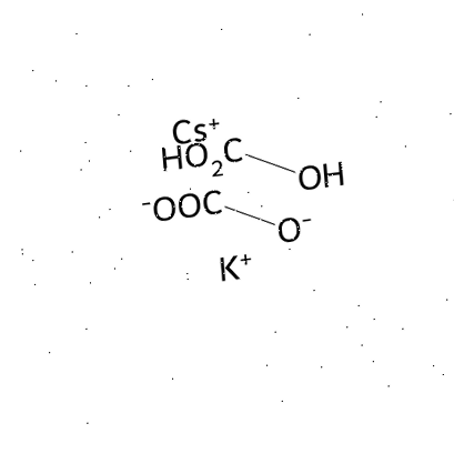 O=C(O)O.O=C([O-])[O-].[Cs+].[K+]